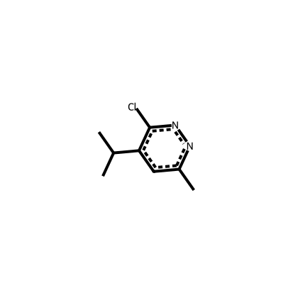 Cc1cc(C(C)C)c(Cl)nn1